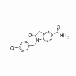 NC(=O)c1ccc2c(c1)CC(=O)N2Cc1ccc(Cl)cc1